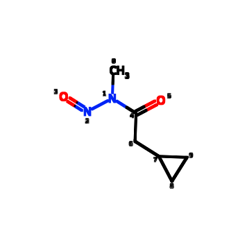 CN(N=O)C(=O)CC1CC1